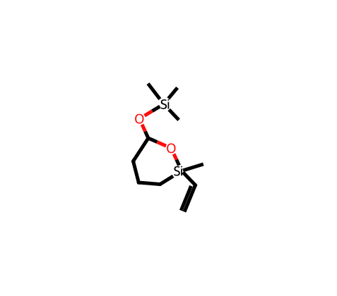 C=C[Si]1(C)CCCC(O[Si](C)(C)C)O1